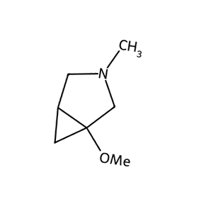 COC12CC1CN(C)C2